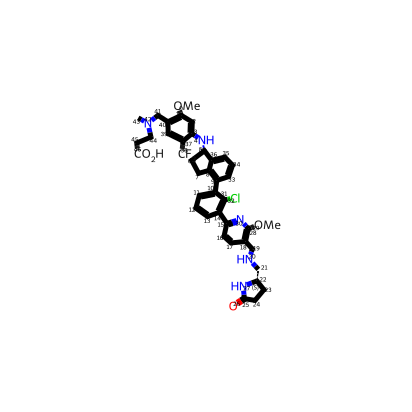 COc1cc(N[C@H]2CCc3c(-c4cccc(-c5ccc(CNC[C@@H]6CCC(=O)N6)c(OC)n5)c4Cl)cccc32)c(C(F)(F)F)cc1CN(C)CCC(=O)O